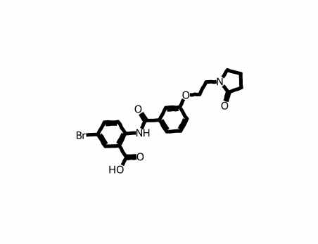 O=C(Nc1ccc(Br)cc1C(=O)O)c1cccc(OCCN2CCCC2=O)c1